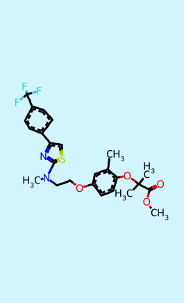 COC(=O)C(C)(C)Oc1ccc(OCCN(C)c2nc(-c3ccc(C(F)(F)F)cc3)cs2)cc1C